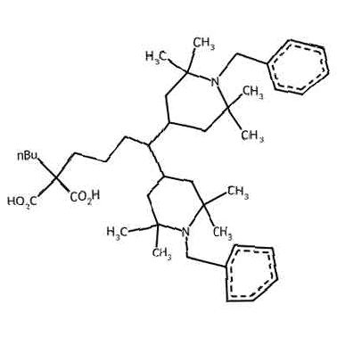 CCCCC(CCCC(C1CC(C)(C)N(Cc2ccccc2)C(C)(C)C1)C1CC(C)(C)N(Cc2ccccc2)C(C)(C)C1)(C(=O)O)C(=O)O